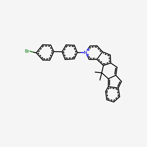 CC1(C)C2=c3ccccc3=CC2=Cc2cc3ccn(-c4ccc(-c5ccc(Br)cc5)cc4)cc-3c21